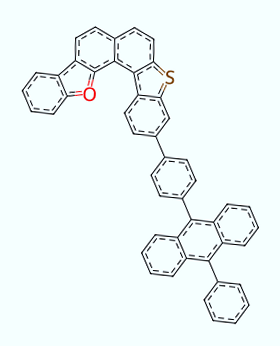 c1ccc(-c2c3ccccc3c(-c3ccc(-c4ccc5c(c4)sc4ccc6ccc7c8ccccc8oc7c6c45)cc3)c3ccccc23)cc1